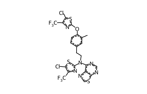 Cc1cc(CCN(c2nc(C(F)(F)F)c(Cl)s2)c2ncnc3scnc23)ccc1Oc1nc(C(F)(F)F)c(Cl)s1